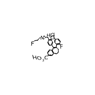 Cl.O=C(O)c1ccc2c(c1)CCCC(c1cc(Cl)ccc1F)=C2c1ccc(CC2CN(CCCF)C2)cc1